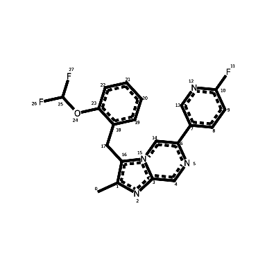 Cc1nc2cnc(-c3ccc(F)nc3)cn2c1Cc1ccccc1OC(F)F